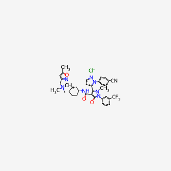 Cc1cc(C[N+](C)(C)C[C@H]2CC[C@H](NC(=O)c3c(-c4ccnn4-c4ccc(C#N)cc4)n(C)n(-c4cccc(C(F)(F)F)c4)c3=O)CC2)no1.[Cl-]